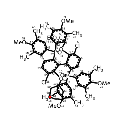 CCOC(=O)COc1c(Cl)ccc(P(=O)(c2cc(C)c(OC)c(C)c2)c2cc(C)c(OC)c(C)c2)c1-c1c(P(=O)(c2cc(C)c(OC)c(C)c2)c2cc(C)c(OC)c(C)c2)ccc(Cl)c1OC1CCCCC1